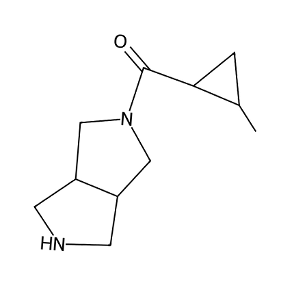 CC1CC1C(=O)N1CC2CNCC2C1